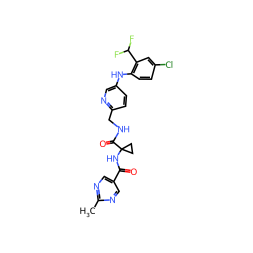 Cc1ncc(C(=O)NC2(C(=O)NCc3ccc(Nc4ccc(Cl)cc4C(F)F)cn3)CC2)cn1